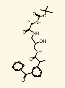 CC(C(=O)NCC(O)CNC(=O)[C@H](C)NC(=O)OC(C)(C)C)c1cccc(C(=O)c2ccccc2)c1